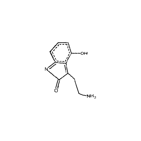 NCCC1=c2c(O)cccc2=NC1=O